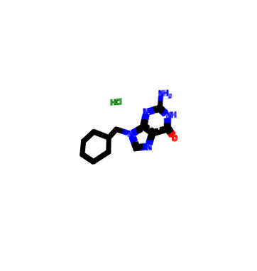 Cl.Nc1nc2c(ncn2CC2CCCCC2)c(=O)[nH]1